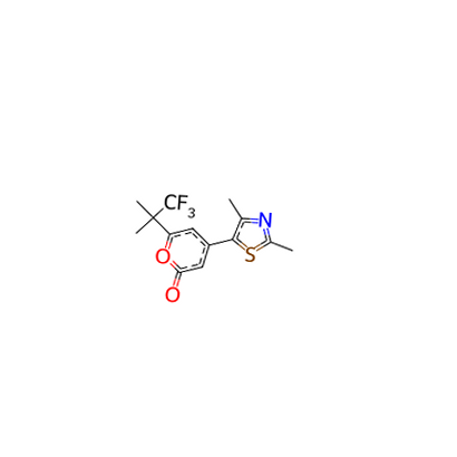 Cc1nc(C)c(-c2cc(C(C)(C)C(F)(F)F)oc(=O)c2)s1